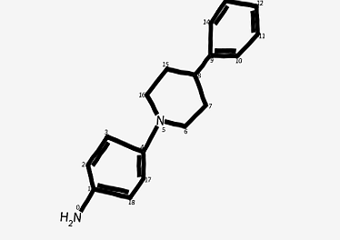 Nc1ccc(N2CCC(c3ccccc3)CC2)cc1